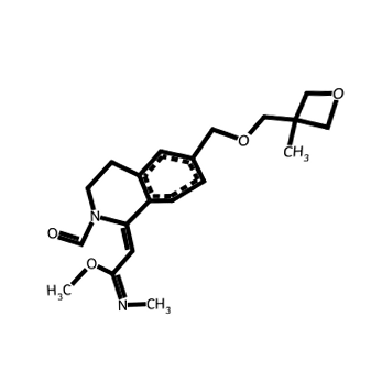 C/N=C(\C=C1\c2ccc(COCC3(C)COC3)cc2CCN1C=O)OC